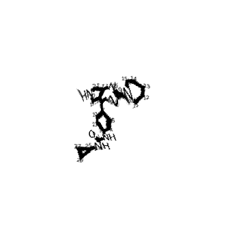 O=C(Nc1ccc(-c2nc(N3CCCCC3)nc3c2CNC3)cc1)NC1CC1